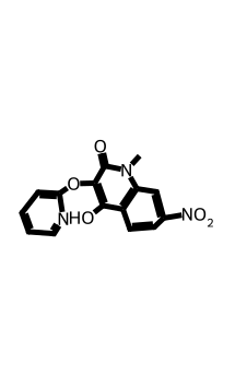 Cn1c(=O)c(Oc2ccccn2)c(O)c2ccc([N+](=O)[O-])cc21